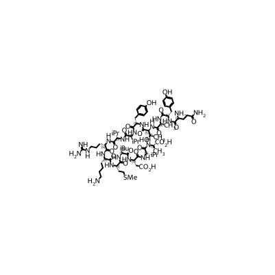 CC[C@H](C)[C@H](NC(=O)[C@H](CCSC)NC(=O)[C@H](CCCCN)NC(=O)[C@H](CCCNC(=N)N)NC(=O)[C@@H](NC(=O)[C@@H](NC(=O)[C@H](Cc1ccc(O)cc1)NC(=O)[C@@H](NC(=O)[C@H](C)NC(=O)[C@H](Cc1ccc(O)cc1)NC(=O)[C@@H](N)CCC(N)=O)[C@@H](C)O)C(C)C)C(C)C)C(=O)N[C@@H](CC(=O)O)C(=O)N[C@H](C(=O)N[C@@H](C)C(=O)O)C(C)C